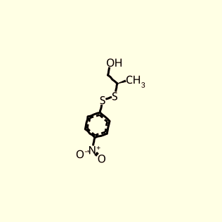 C[C@H](CO)SSc1ccc([N+](=O)[O-])cc1